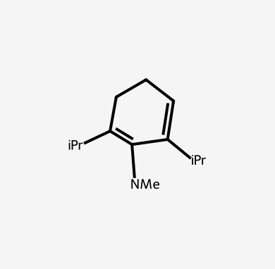 CNC1=C(C(C)C)CCC=C1C(C)C